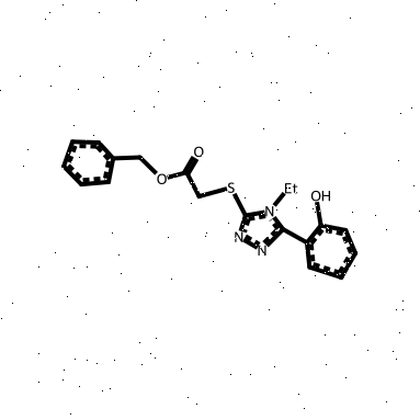 CCn1c(SCC(=O)OCc2ccccc2)nnc1-c1ccccc1O